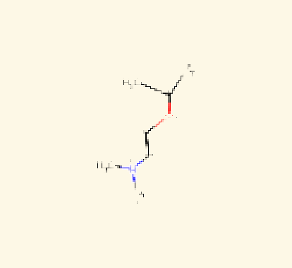 CC(C)C(C)OCCN(C)C(C)C